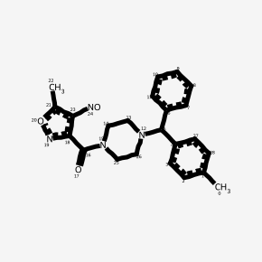 Cc1ccc(C(c2ccccc2)N2CCN(C(=O)c3noc(C)c3N=O)CC2)cc1